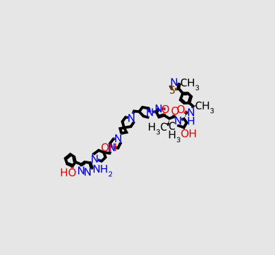 Cc1ncsc1-c1ccc([C@H](C)NC(=O)[C@@H]2C[C@@H](O)CN2C(=O)[C@@H](c2cc(N3CCC(CN4CCC5(CC4)CC(N4CCN(CC6(O)CCN(c7cc(-c8ccccc8O)nnc7N)CC6)CC4)C5)CC3)no2)C(C)C)cc1